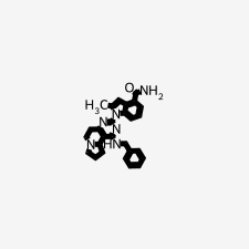 Cc1cc2c(C(N)=O)cccc2n1-c1nc2c(c(NCc3ccccc3)n1)C1CCCN1CC2